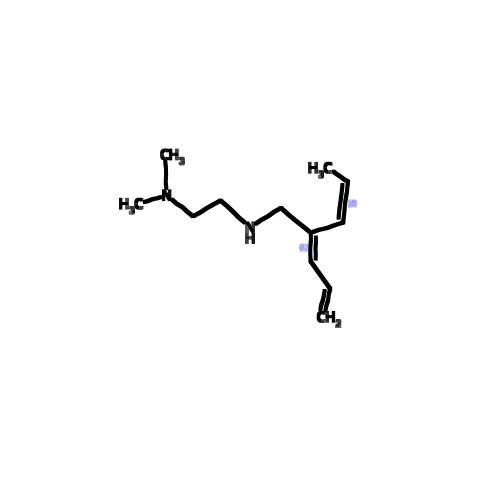 C=C/C=C(\C=C/C)CNCCN(C)C